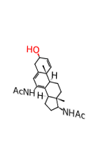 CC(=O)NC1=C2[C@@H]3CC[C@H](NC(C)=O)[C@@]3(C)CC[C@@H]2[C@@]2(C)C=C[C@H](O)CC2=C1